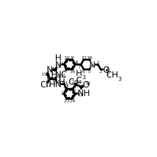 COCCN1CCC(c2ccc(Nc3ncc(Cl)c(NCc4cccc5c4C(C)(C)C(=O)N5)n3)c(C)c2)CC1